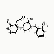 CCCc1c(N2CCN(Cc3ccccc3C)C(=O)C2)cn[nH]c1=O